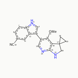 COc1c(-c2c[nH]c3ccc(C#N)cc23)cnc2c1C1(CC1)CN2